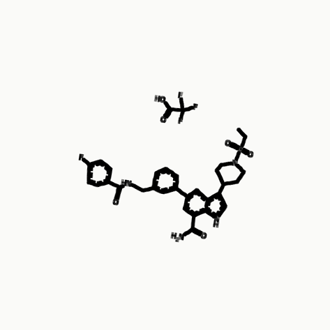 CCS(=O)(=O)N1CCC(c2c[nH]c3c(C(N)=O)cc(-c4cccc(CNC(=O)c5ccc(F)cc5)c4)cc23)CC1.O=C(O)C(F)(F)F